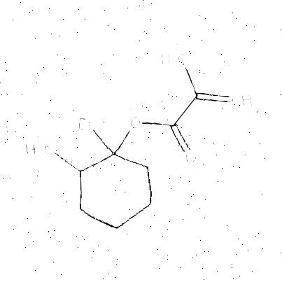 C=C(C)C(=O)OC1(CC)CCCCC1C